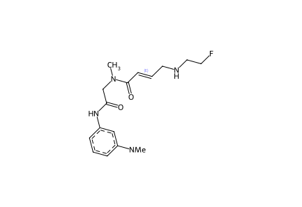 CNc1cccc(NC(=O)CN(C)C(=O)/C=C/CNCCF)c1